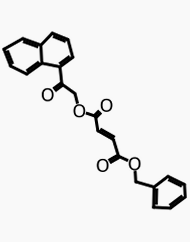 O=C(/C=C/C(=O)OCc1ccccc1)OCC(=O)c1cccc2ccccc12